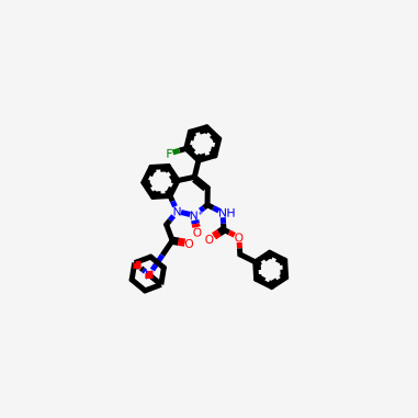 O=C(NC1C=C(c2ccccc2F)c2ccccc2N(CC(=O)N2CC3CCC(CC3)C2)[N+]1=O)OCc1ccccc1